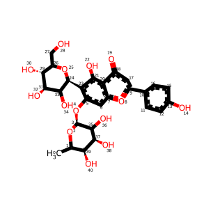 CC1O[C@@H](Oc2cc3oc(-c4ccc(O)cc4)cc(=O)c3c(O)c2[C@@H]2OC(CO)[C@@H](O)[C@H](O)C2O)C(O)[C@@H](O)[C@H]1O